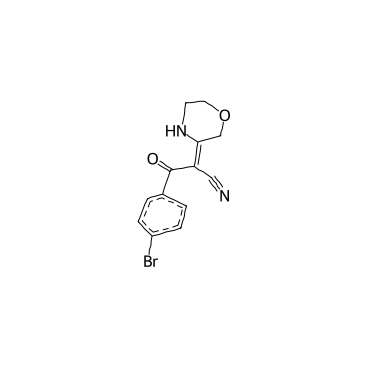 N#C/C(C(=O)c1ccc(Br)cc1)=C1\COCCN1